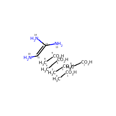 CC(=O)O.CC(=O)O.CC(=O)O.CC(=O)O.CC(=O)O.NC=C(N)N